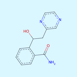 NC(=O)c1ccccc1C(O)Cc1cnccn1